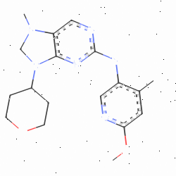 Cc1cc(OC(F)(F)F)ncc1Nc1ncc2c(n1)N(C1CCOCC1)CN2C